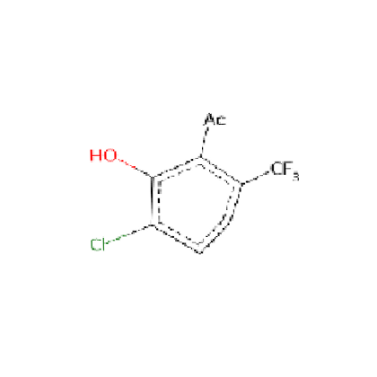 CC(=O)c1c(C(F)(F)F)ccc(Cl)c1O